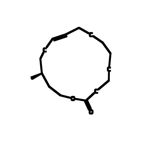 C[C@H]1CCC=CCCCCCCCC(=O)OCC1